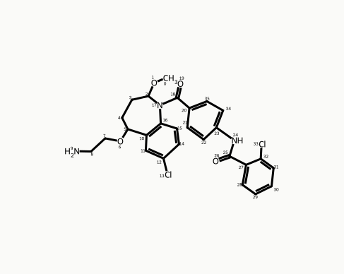 COC1CCC(OCCN)c2cc(Cl)ccc2N1C(=O)c1ccc(NC(=O)c2ccccc2Cl)cc1